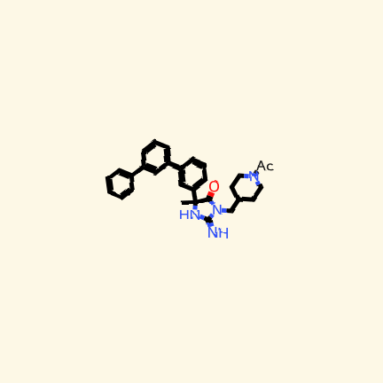 CC(=O)N1CCC(CN2C(=N)NC(C)(c3cccc(-c4cccc(-c5ccccc5)c4)c3)C2=O)CC1